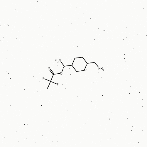 NCC1CCC(C(N)OC(=O)C(F)(F)F)CC1